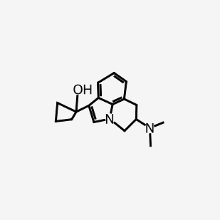 CN(C)C1Cc2cccc3c(C4(O)CCC4)cn(c23)C1